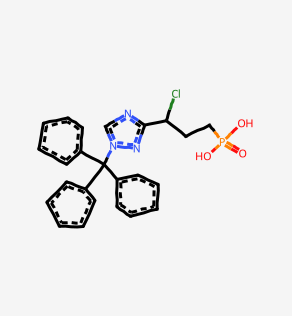 O=P(O)(O)CCC(Cl)c1ncn(C(c2ccccc2)(c2ccccc2)c2ccccc2)n1